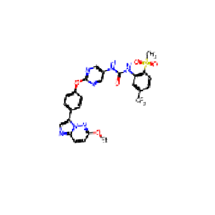 CCOc1ccc2ncc(-c3ccc(Oc4ncc(NC(=O)Nc5cc(C(F)(F)F)ccc5S(C)(=O)=O)cn4)cc3)n2n1